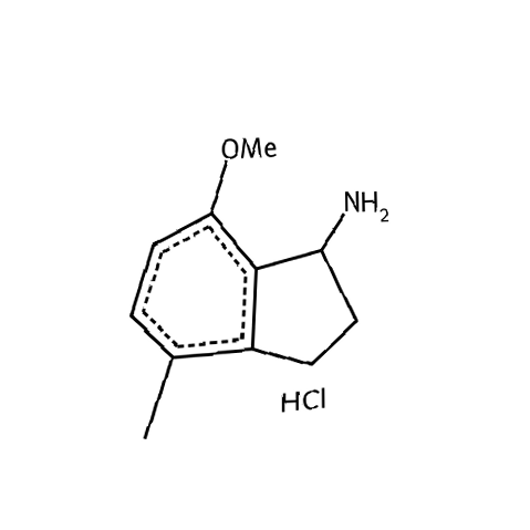 COc1ccc(C)c2c1C(N)CC2.Cl